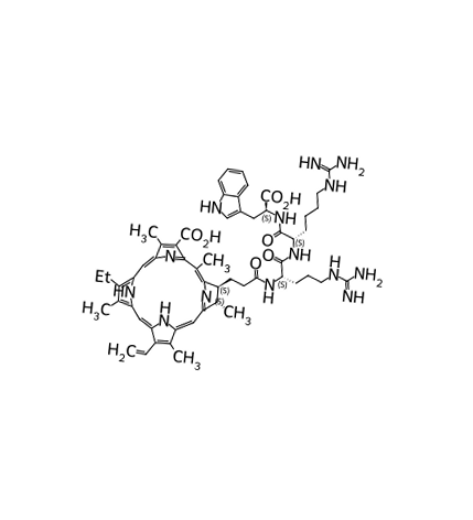 C=Cc1c(C)c2cc3nc(c(C)c4nc(cc5[nH]c(cc1[nH]2)c(C)c5CC)C(C)=C4C(=O)O)[C@@H](CCC(=O)N[C@@H](CCCNC(=N)N)C(=O)N[C@@H](CCCCNC(=N)N)C(=O)N[C@@H](Cc1c[nH]c2ccccc12)C(=O)O)[C@@H]3C